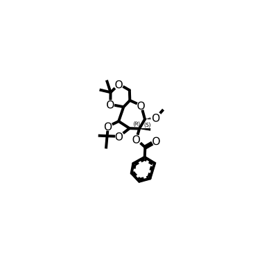 CO[C@H]1OC2COC(C)(C)OC2C2OC(C)(C)OC2[C@@]1(C)OC(=O)c1ccccc1